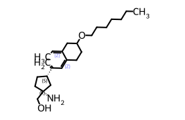 C=C(/C=C1/CCC(OCCCCCCC)C/C1=C/C)[C@H]1CC[C@](N)(CO)C1